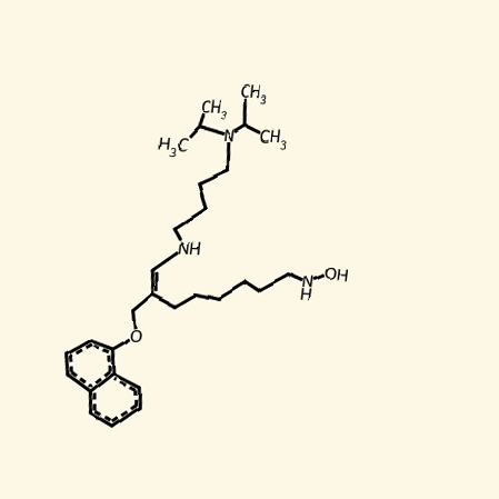 CC(C)N(CCCCN/C=C(\CCCCCCNO)COc1cccc2ccccc12)C(C)C